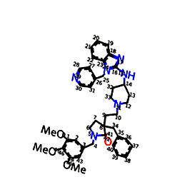 COc1cc(CN2CCC(CCN3CCC(Nc4nc5ccccc5n4Cc4ccncc4)CC3)(Cc3ccccc3)C2=O)cc(OC)c1OC